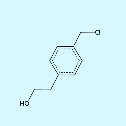 OC[CH]c1ccc(CCl)cc1